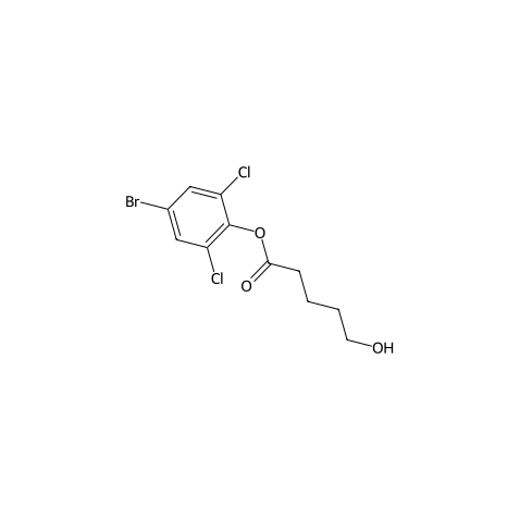 O=C(CCCCO)Oc1c(Cl)cc(Br)cc1Cl